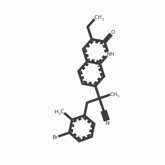 CCc1cc2ccc(C(C)(C#N)Cc3cccc(Br)c3C)cc2[nH]c1=O